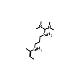 CC=C(C)[SiH2]CCC[SiH2]C(N(C)C)N(C)C